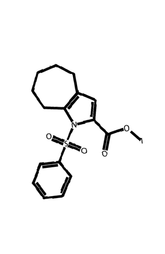 O=C(OI)c1cc2c(n1S(=O)(=O)c1ccccc1)CCCCC2